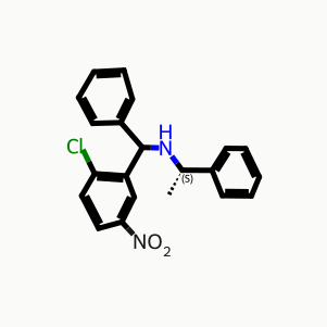 C[C@H](NC(c1ccccc1)c1cc([N+](=O)[O-])ccc1Cl)c1ccccc1